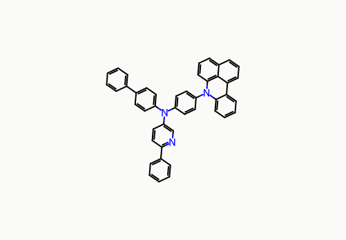 c1ccc(-c2ccc(N(c3ccc(N4c5ccccc5-c5cccc6cccc4c56)cc3)c3ccc(-c4ccccc4)nc3)cc2)cc1